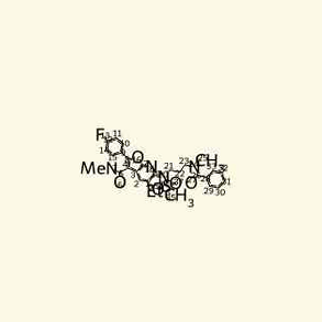 CCc1cc2c(C(=O)NC)c(-c3ccc(F)cc3)oc2nc1N(CCCN(C)C(=O)c1ccccc1)S(C)(=O)=O